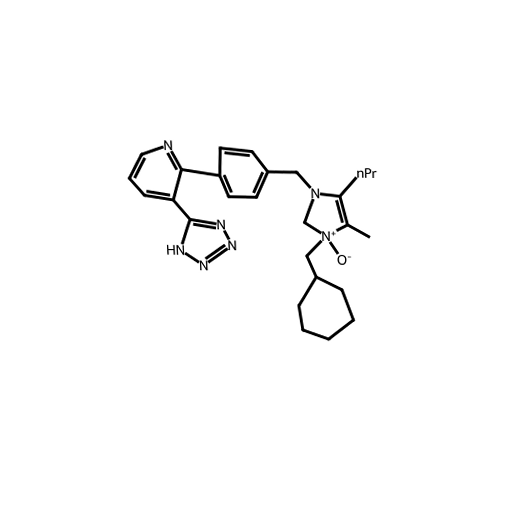 CCCC1=C(C)[N+]([O-])(CC2CCCCC2)CN1Cc1ccc(-c2ncccc2-c2nnn[nH]2)cc1